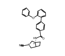 N#CN1CC2CC[C@]2(NC(=O)c2ccc(-c3ccccc3Oc3ccccc3)cc2)C1